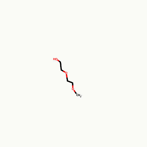 [CH2]OCCOCCO